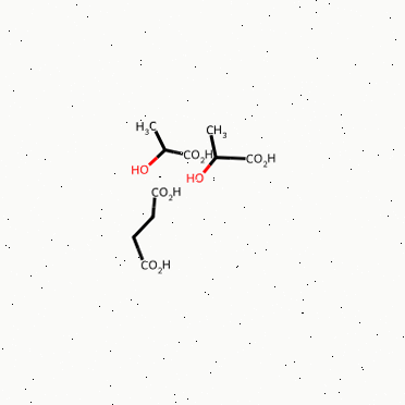 CC(O)C(=O)O.CC(O)C(=O)O.O=C(O)CCC(=O)O